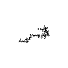 CN(C)CCCN1CCN(CCCN(C)CCCCCC(=O)OC[C@@H]2O[C@H](n3c(=O)[nH]c4c(=O)[nH]c(N)nc43)C(O)C2O)CC1